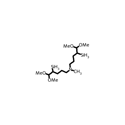 COC(OC)C([SiH3])CCCN(C)CCCC([SiH3])C(OC)OC